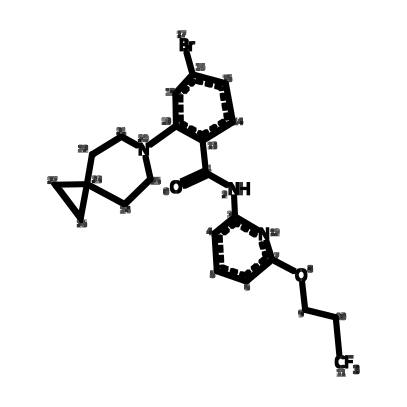 O=C(Nc1cccc(OCCC(F)(F)F)n1)c1ccc(Br)cc1N1CCC2(CC1)CC2